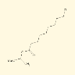 COC(C)OC(=O)CCCCCCCC[O]